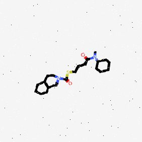 CN(C(=O)CCCSC(=O)N1CCC2CCCCC2C1)C1CCCCC1